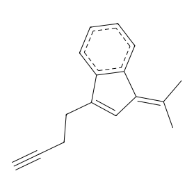 C#CCCC1=CC(=C(C)C)c2ccccc21